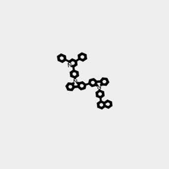 c1ccc(-c2cc(-c3ccccc3)nc(-c3ccc(-n4c5ccccc5c5ccc(-c6ccc7c8ccccc8n(-c8ccc(-c9cccc%10ccccc9%10)cc8)c7c6)cc54)cc3)c2)cc1